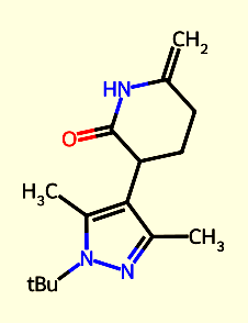 C=C1CCC(c2c(C)nn(C(C)(C)C)c2C)C(=O)N1